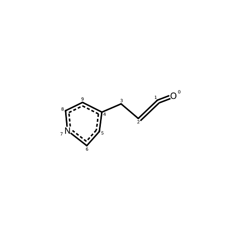 O=C=CCc1ccncc1